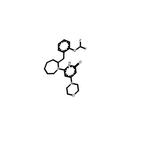 O=c1cc(N2CCOCC2)cc(N2CCCCCC2Cc2ccccc2OC(F)F)[nH]1